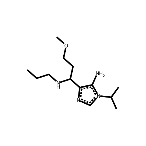 CCCNC(CCOC)c1ncn(C(C)C)c1N